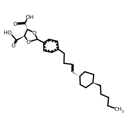 CCCCC[C@H]1CC[C@H](C=CCCc2ccc(C3O[C@@H](C(=O)O)[C@H](C(=O)O)O3)cc2)CC1